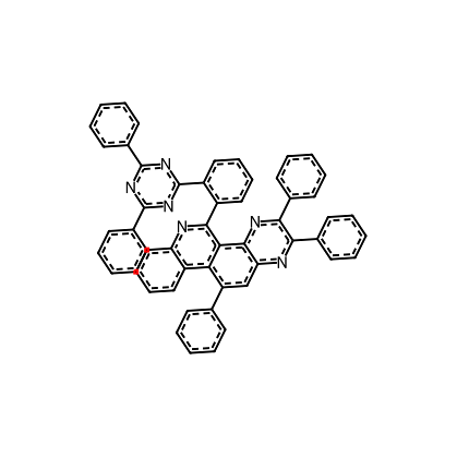 c1ccc(-c2nc(-c3ccccc3)nc(-c3ccccc3-c3nc4ccccc4c4c(-c5ccccc5)cc5nc(-c6ccccc6)c(-c6ccccc6)nc5c34)n2)cc1